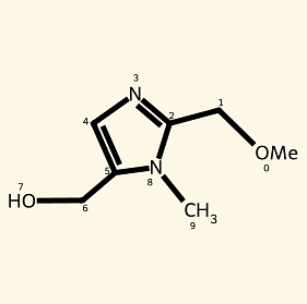 COCc1ncc(CO)n1C